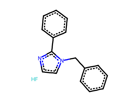 F.c1ccc(Cn2ccnc2-c2ccccc2)cc1